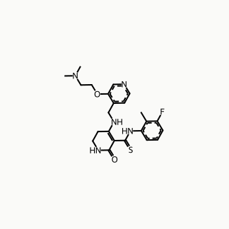 Cc1c(F)cccc1NC(=S)C1=C(NCc2ccncc2OCCN(C)C)CCNC1=O